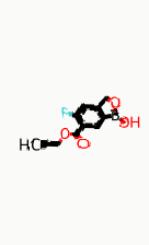 C#CCOC(=O)c1cc2c(cc1F)COB2O